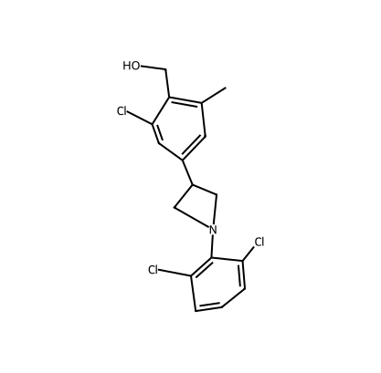 Cc1cc(C2CN(c3c(Cl)cccc3Cl)C2)cc(Cl)c1CO